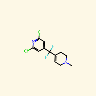 CN1CC=C(C(F)(F)c2cc(Cl)nc(Cl)c2)CC1